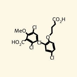 COc1c(Cl)ccc(Cl)c1C(=O)O.O=C(O)CCCOc1ccc(Cl)cc1Cl